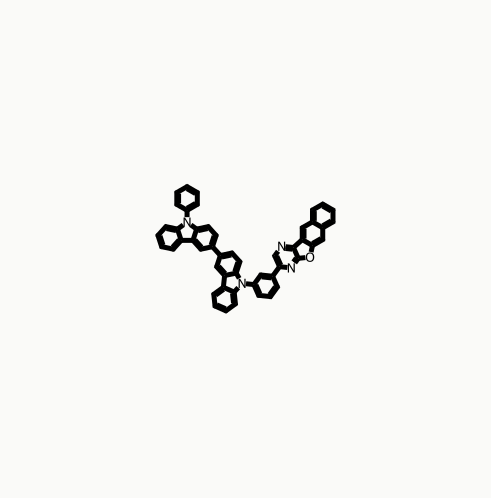 c1ccc(-n2c3ccccc3c3cc(-c4ccc5c(c4)c4ccccc4n5-c4cccc(-c5cnc6c(n5)oc5cc7ccccc7cc56)c4)ccc32)cc1